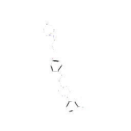 CC1CCN(CCCOc2ccc(CCN3CCN(c4cccc(Cl)c4Cl)CC3)cc2)CC1